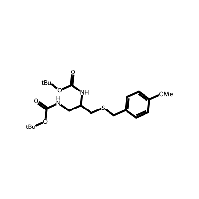 COc1ccc(CSCC(CNC(=O)OC(C)(C)C)NC(=O)OC(C)(C)C)cc1